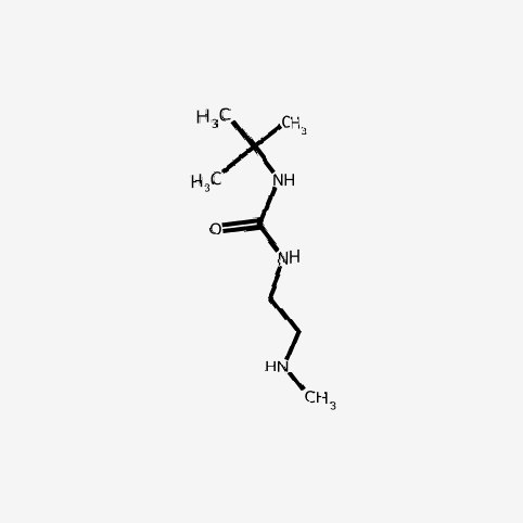 CNCCNC(=O)NC(C)(C)C